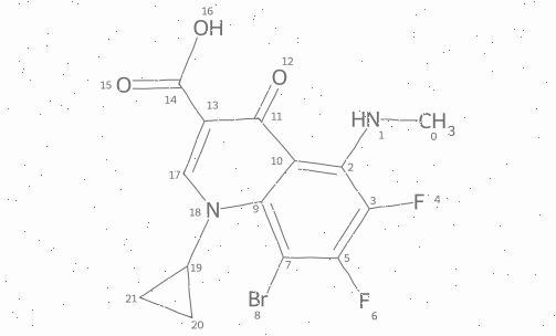 CNc1c(F)c(F)c(Br)c2c1c(=O)c(C(=O)O)cn2C1CC1